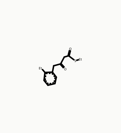 CCSC(=O)CC(=O)Cc1ccccc1CC